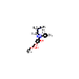 C/C=C/C(C)=C\C=C(/C)c1nc(-c2ccc(C)cc2C)nc(-c2ccc(OCC(O)COCCCCCCCCCCCCC)cc2O)n1